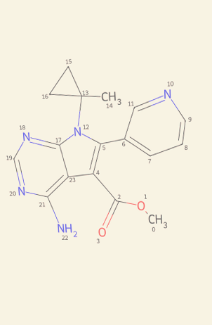 COC(=O)c1c(-c2cccnc2)n(C2(C)CC2)c2ncnc(N)c12